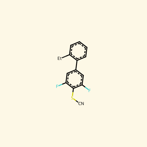 CCc1ccccc1-c1cc(F)c(SC#N)c(F)c1